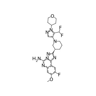 COc1cc2nc(N)n3nc([C@@H]4CCCN(c5cnn(C6CCOCC6)c5C(F)F)C4)nc3c2cc1F